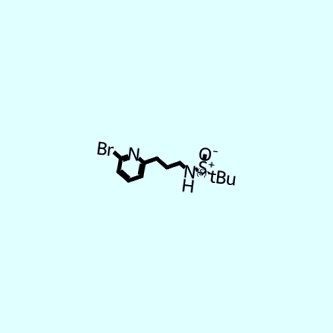 CC(C)(C)[S@@+]([O-])NCCCc1cccc(Br)n1